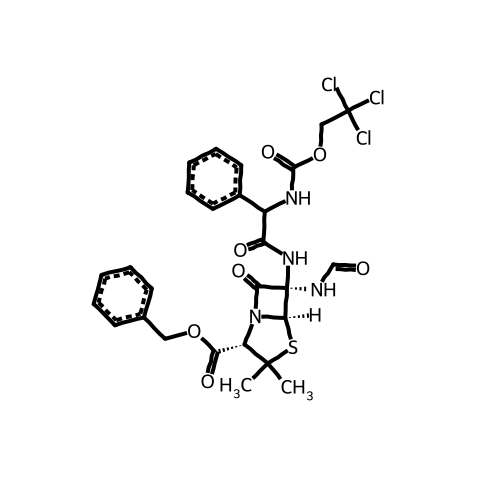 CC1(C)S[C@H]2N(C(=O)[C@@]2(NC=O)NC(=O)C(NC(=O)OCC(Cl)(Cl)Cl)c2ccccc2)[C@H]1C(=O)OCc1ccccc1